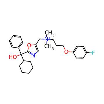 C[N+](C)(CCCOc1ccc(F)cc1)Cc1cnc(C(O)(c2ccccc2)C2CCCCC2)o1